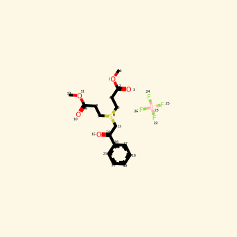 COC(=O)CC[S+](CCC(=O)OC)CC(=O)c1ccccc1.F[B-](F)(F)F